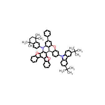 CC(C)(C)c1ccc2c(c1)c1cc(C(C)(C)C)ccc1n2-c1ccc2c(c1)Oc1cc(-c3ccccc3)cc3c1B2c1c(c2oc4ccccc4c2c2c1oc1ccccc12)N3c1ccc2c(c1)C(C)(C)CCC2(C)C